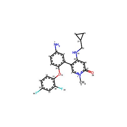 Cn1cc(-c2cc(N)ccc2Oc2ccc(F)cc2F)c(NCC2CC2)cc1=O